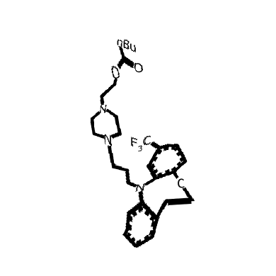 CCCCC(=O)OCCN1CCN(CCCN2c3ccccc3/C=C/Cc3ccc(C(F)(F)F)cc32)CC1